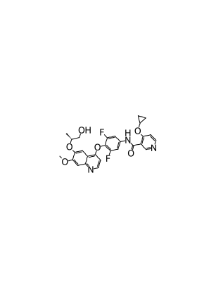 COc1cc2nccc(Oc3c(F)cc(NC(=O)c4cnccc4OC4CC4)cc3F)c2cc1O[C@@H](C)CO